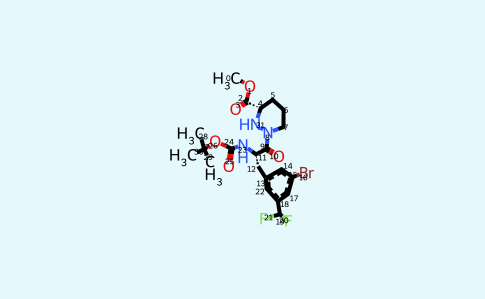 COC(=O)[C@@H]1CCCN(C(=O)[C@H](Cc2cc(Br)cc(C(F)F)c2)NC(=O)OC(C)(C)C)N1